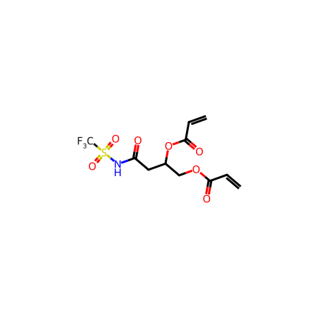 C=CC(=O)OCC(CC(=O)NS(=O)(=O)C(F)(F)F)OC(=O)C=C